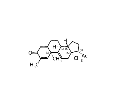 CC(=O)[C@H]1CC[C@H]2[C@@H]3CCC4=CC(=O)C(C)=C[C@]4(C)C3=CC[C@]12C